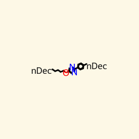 CCCCCCCCCCCCCCCOc1cnc(-c2ccc(CCCCCCCCCCC)cc2)nc1